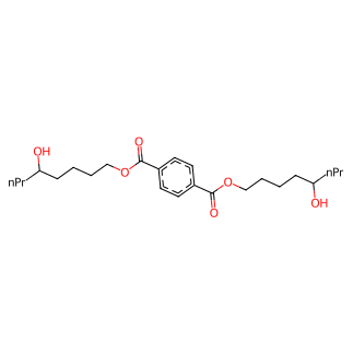 CCCC(O)CCCCOC(=O)c1ccc(C(=O)OCCCCC(O)CCC)cc1